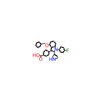 O=C(O)c1ccc(-c2c(C3=CCNC3)n(-c3ccc(F)cc3)c3cccc(OCc4ccccc4)c23)cc1